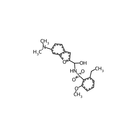 CCc1cccc(OC)c1S(=O)(=O)NC(O)c1cc2ccc(N(C)C)cc2o1